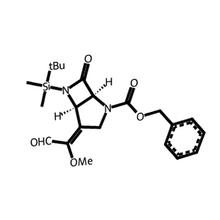 CO/C(C=O)=C1\CN(C(=O)OCc2ccccc2)[C@@H]2C(=O)N([Si](C)(C)C(C)(C)C)[C@H]12